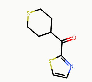 O=C(c1nccs1)C1CCSCC1